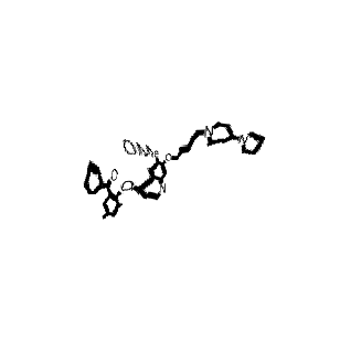 COc1cc2c(Oc3ccc(C)cc3C(=O)c3ccccc3)ccnc2cc1OCCCCN1CCC(N2CCCC2)CC1